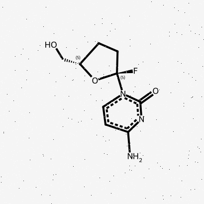 Nc1ccn([C@@]2(F)CC[C@@H](CO)O2)c(=O)n1